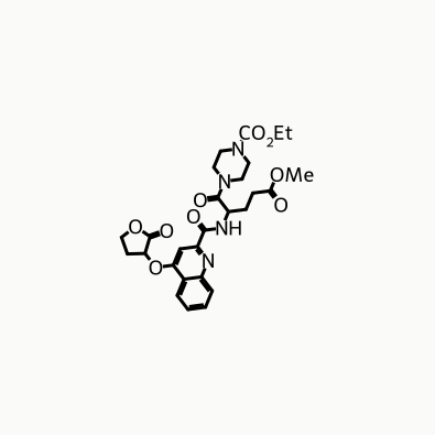 CCOC(=O)N1CCN(C(=O)C(CCC(=O)OC)NC(=O)c2cc(OC3CCOC3=O)c3ccccc3n2)CC1